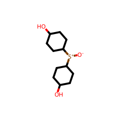 [O-][S+](C1CCC(O)CC1)C1CCC(O)CC1